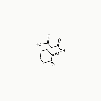 O=C(O)CC(=O)O.O=C1CCCCC1=O